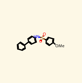 COc1ccc(S(=O)(=O)Nc2ccc(-c3ccccc3)cc2)cc1